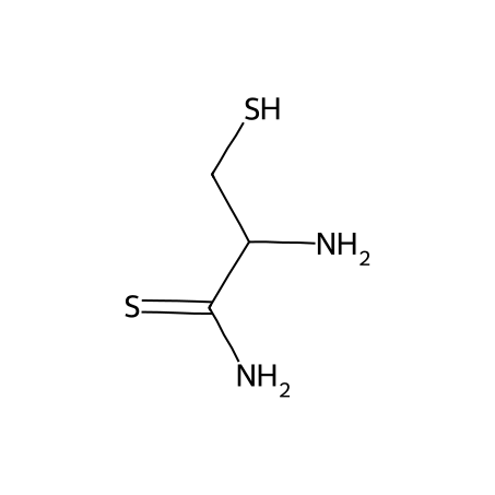 NC(=S)C(N)CS